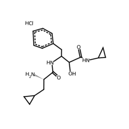 Cl.N[C@@H](CC1CC1)C(=O)NC(Cc1ccccc1)C(O)C(=O)NC1CC1